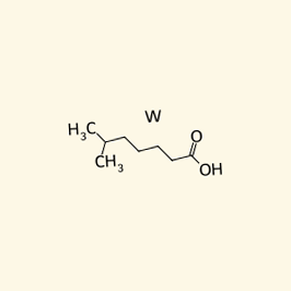 CC(C)CCCCC(=O)O.[W]